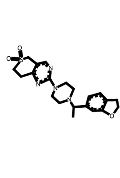 CC(c1ccc2c(c1)OCC2)N1CCN(c2ncc3c(n2)CCS(=O)(=O)C3)CC1